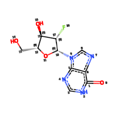 O=c1[nH]cnc2c1ncn2[C@@H]1O[C@H](CO)[C@@H](O)[C@@H]1F